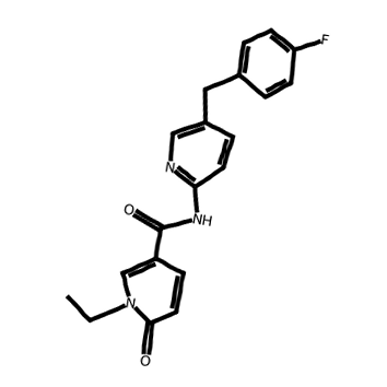 CCn1cc(C(=O)Nc2ccc(Cc3ccc(F)cc3)cn2)ccc1=O